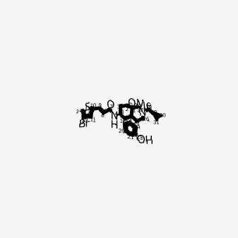 CO[C@]12CC[C@H](NC(=O)C=Cc3cc(Br)cs3)C[C@]1(c1cccc(O)c1)CCN(CC1CC1)C2